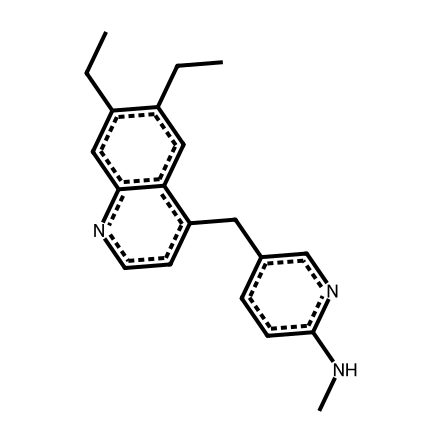 CCc1cc2nccc(Cc3ccc(NC)nc3)c2cc1CC